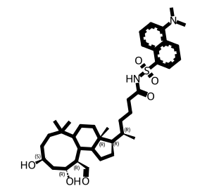 C[C@H](CCCC(=O)NS(=O)(=O)c1cccc2c(N(C)C)cccc12)[C@H]1CCC2C3C(CC[C@@]21C)C(C)(C)CC[C@H](O)C[C@@H](O)[C@@H]3C=O